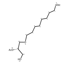 CCCCCCCCCCCCCCCCCCOC[C@H](CO)OC(C)=O